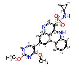 COc1ncc(-c2ccc3c(Nc4ccccc4)c(S(=O)(=O)NC4CC4)cnc3c2)c(OC)n1